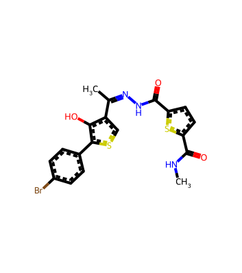 CNC(=O)c1ccc(C(=O)N/N=C(/C)c2csc(-c3ccc(Br)cc3)c2O)s1